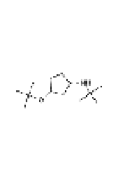 CC(C)(C)N[C@H]1CC[C@@H](OC(C)(C)C)C1